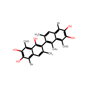 CC(=O)Oc1c(-c2c(C)cc3c(C(C)C)c(O)c(O)c(C=O)c3c2O)c(C)cc2c(C(C)C)c(O)c(O)c(C=O)c12